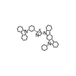 c1ccc(-n2c3ccccc3c3cc4c5ccccc5n(-c5cnc(-c6cccc(-n7c8ccccc8c8ccccc87)c6)s5)c4cc32)cc1